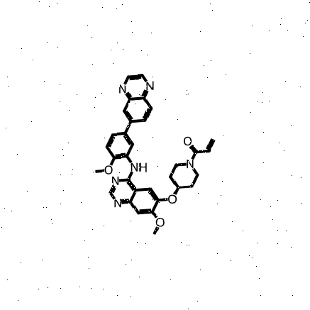 C=CC(=O)N1CCC(Oc2cc3c(Nc4cc(-c5ccc6nccnc6c5)ccc4OC)ncnc3cc2OC)CC1